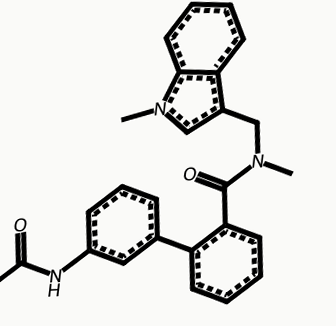 CC(=O)Nc1cccc(-c2ccccc2C(=O)N(C)Cc2cn(C)c3ccccc23)c1